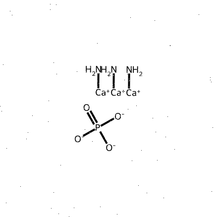 O=P([O-])([O-])[O-].[NH2][Ca+].[NH2][Ca+].[NH2][Ca+]